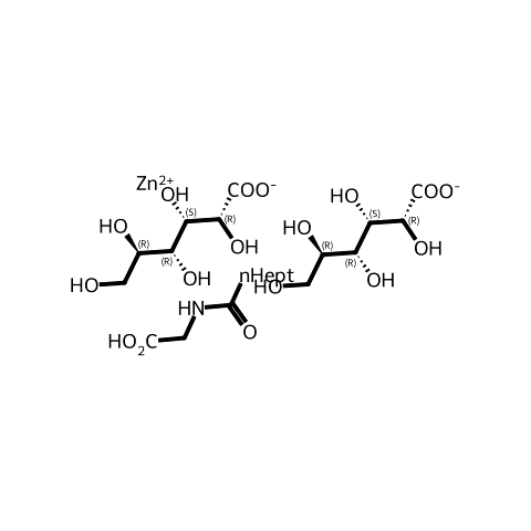 CCCCCCCC(=O)NCC(=O)O.O=C([O-])[C@H](O)[C@@H](O)[C@H](O)[C@H](O)CO.O=C([O-])[C@H](O)[C@@H](O)[C@H](O)[C@H](O)CO.[Zn+2]